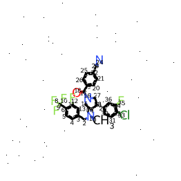 CN(Cc1ccc(C(F)(F)F)c(F)c1)[C@H]1CN(C(=O)c2ccc(C#N)cc2)C[C@@H]1c1ccc(Cl)c(F)c1